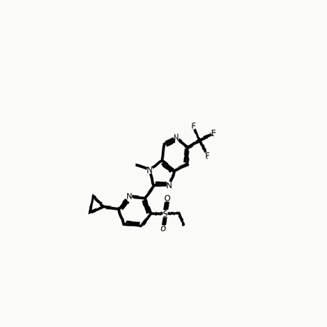 CCS(=O)(=O)c1ccc(C2CC2)nc1-c1nc2cc(C(F)(F)F)ncc2n1C